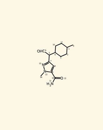 CC1CCC(C(C=O)c2cc(C(N)=O)n(C)n2)CC1